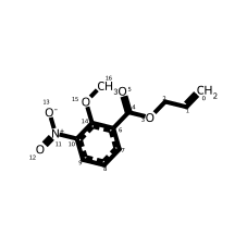 C=CCOC(=O)c1cccc([N+](=O)[O-])c1OC